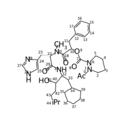 CC(=O)N1CCCCN1C(=O)OC(Cc1ccccc1)C(=O)N(C)[C@@H](Cc1c[nH]cn1)C(=O)NC(CC1CCCCC1)C(O)CCC(C)C